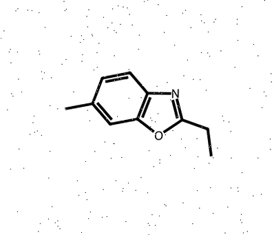 CCc1nc2ccc(C)cc2o1